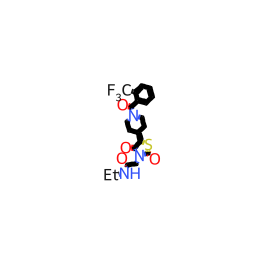 CCNC(=O)CN1C(=O)SC(=C2CCN(C(=O)c3ccccc3C(F)(F)F)CC2)C1=O